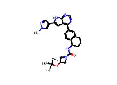 Cn1cc(-c2cc3c(-c4ccc5c(c4)CCCC5NC(=O)N4CC(OC(C)(C)C)C4)ncnc3[nH]2)cn1